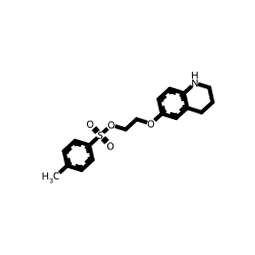 Cc1ccc(S(=O)(=O)OCCOc2ccc3c(c2)CCCN3)cc1